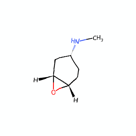 CN[C@@H]1C[C@@H]2O[C@@H]2C1